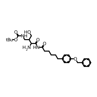 CC(C)(C)OC(=O)NCC(CO)C(N)C(=O)NC(=O)CCCCCc1ccc(OCc2ccccc2)cc1